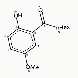 CCCCCCC(=O)c1cc(OC)ccc1O